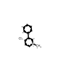 C[n+]1cccc(-c2ccccc2)c1.[Cl-]